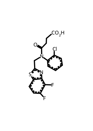 O=C(O)CCC(=O)N(Cc1nc2c(F)c(F)ccc2s1)c1ccccc1Cl